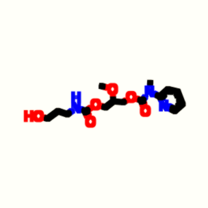 COC(COC(=O)NCCCO)COC(=O)N(C)c1ccccn1